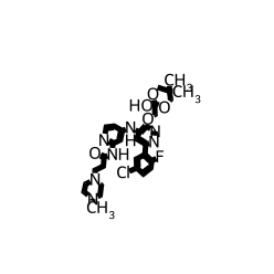 CN1CCN(CCC(=O)Nc2cc(Nc3cc(-c4cc(Cl)ccc4F)nnc3OCC3(O)OCC(C)(C)CO3)ccn2)CC1